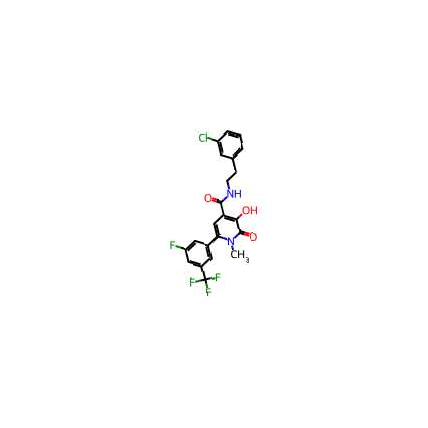 Cn1c(-c2cc(F)cc(C(F)(F)F)c2)cc(C(=O)NCCc2cccc(Cl)c2)c(O)c1=O